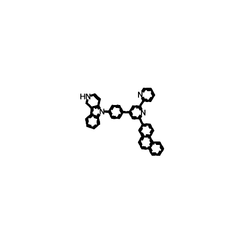 C1=Cc2c(c3ccccc3n2-c2ccc(-c3cc(-c4ccc5c(ccc6ccccc65)c4)nc(-c4ccccn4)c3)cc2)CN1